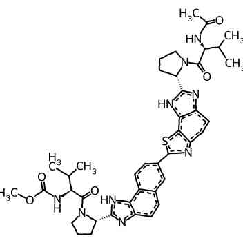 COC(=O)N[C@H](C(=O)N1CCC[C@H]1c1nc2ccc3cc(-c4nc5ccc6nc([C@@H]7CCCN7C(=O)[C@@H](NC(C)=O)C(C)C)[nH]c6c5s4)ccc3c2[nH]1)C(C)C